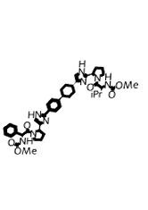 COC(=O)N[C@H](C(=O)N1CCC[C@@H]1c1nc([C@H]2CC[C@H](c3ccc(-c4nc([C@H]5CCCN5C(=O)[C@H](NC(=O)OC)c5ccccc5)c[nH]4)cc3)CC2)c[nH]1)C(C)C